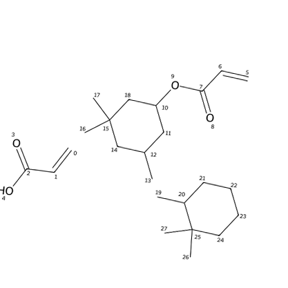 C=CC(=O)O.C=CC(=O)OC1CC(C)CC(C)(C)C1.CC1CCCCC1(C)C